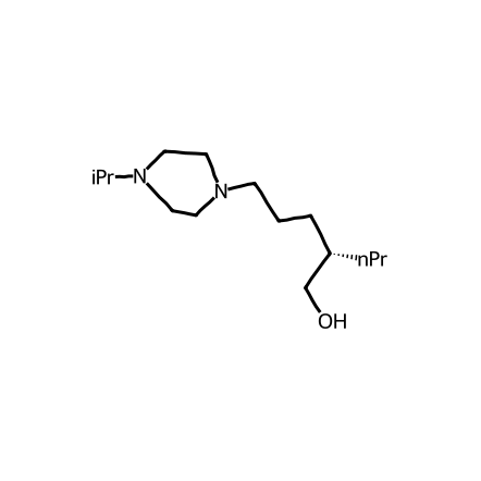 CCC[C@H](CO)CCCN1CCN(C(C)C)CC1